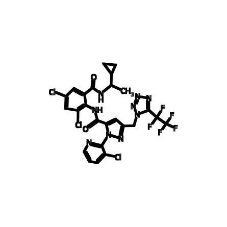 CC(NC(=O)c1cc(Cl)cc(Cl)c1NC(=O)c1cc(Cn2nnnc2C(F)(F)C(F)(F)F)nn1-c1ncccc1Cl)C1CC1